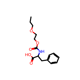 CCCOCCOC(=O)NC(Cc1ccccc1)C(=O)O